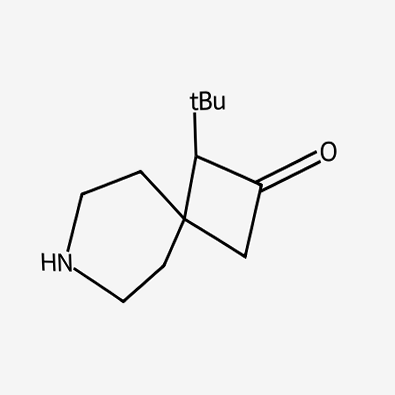 CC(C)(C)C1C(=O)CC12CCNCC2